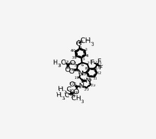 COc1ccc(C2Cc3c(cccc3C(F)(F)F)N(CC3=NCCN3C(=O)OC(C)(C)C)C(=O)[C@@H]2OC(C)=O)cc1